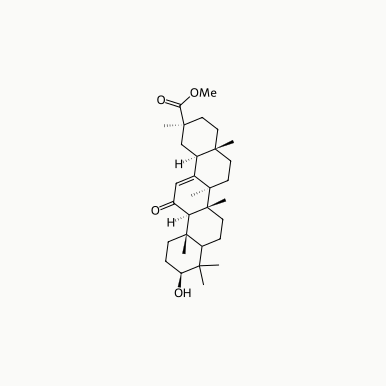 COC(=O)[C@@]1(C)CC[C@]2(C)CC[C@]3(C)C(=CC(=O)[C@@H]4[C@@]5(C)CC[C@H](O)C(C)(C)C5CC[C@]43C)[C@H]2C1